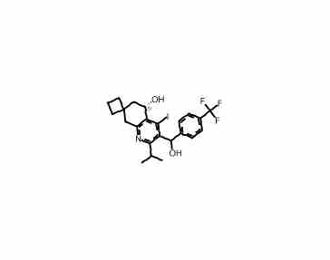 CC(C)c1nc2c(c(I)c1C(O)c1ccc(C(F)(F)F)cc1)[C@@H](O)CC1(CCC1)C2